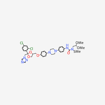 COC(CN(SC)C(=O)Nc1ccc(N2CCN(c3ccc(OCC4COC(Cn5cncn5)(c5ccc(Cl)cc5Cl)O4)cc3)CC2)cc1)OC